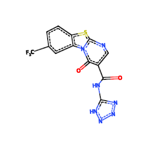 O=C(Nc1nnn[nH]1)c1cnc2sc3ccc(C(F)(F)F)cc3n2c1=O